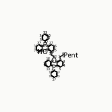 CCCC(C)Cc1cccc(P(c2ccccc2)c2ccccc2)c1OCCc1cccc(P(c2ccccc2)c2ccccc2)c1O